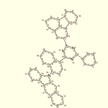 c1ccc(-c2nc(-c3cc4c5c(cccc5c3)-c3ccccc3-4)nc(-c3ccc(-n4c5ccccc5c5cc6ccccc6cc54)c4ccccc34)n2)cc1